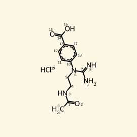 CC(=O)NCCN(C(=N)N)c1ccc(C(=O)O)cc1.Cl